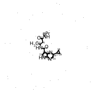 CCCNC(=O)CC(C)NC(=O)c1c[nH]c2ncc(C3CC3)nc12